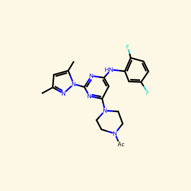 CC(=O)N1CCN(c2cc(Nc3cc(F)ccc3F)nc(-n3nc(C)cc3C)n2)CC1